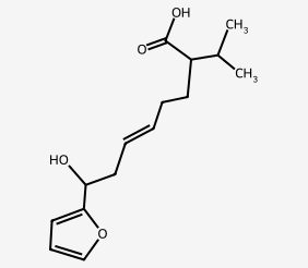 CC(C)C(CCC=CCC(O)c1ccco1)C(=O)O